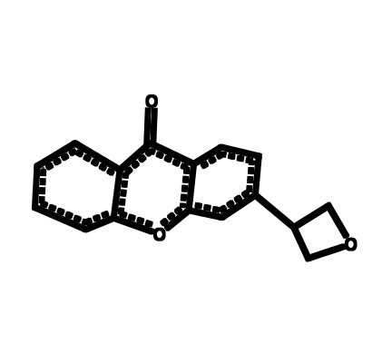 O=c1c2ccccc2oc2cc(C3COC3)ccc12